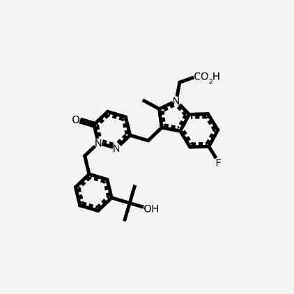 Cc1c(Cc2ccc(=O)n(Cc3cccc(C(C)(C)O)c3)n2)c2cc(F)ccc2n1CC(=O)O